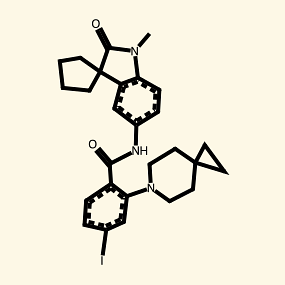 CN1C(=O)C2(CCCC2)c2cc(NC(=O)c3ccc(I)cc3N3CCC4(CC3)CC4)ccc21